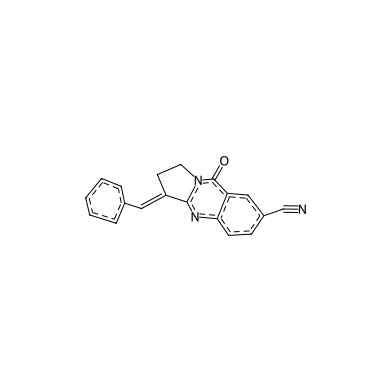 N#Cc1ccc2nc3n(c(=O)c2c1)CCC3=Cc1ccccc1